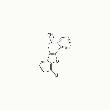 CN1Cc2c(oc3c(Cl)cccc23)-c2ccccc21